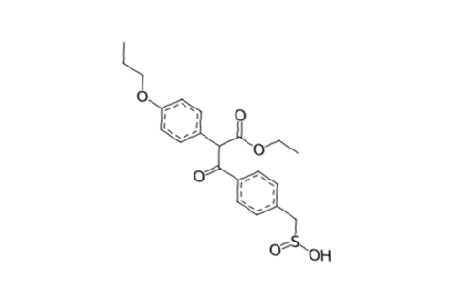 CCCOc1ccc(C(C(=O)OCC)C(=O)c2ccc(CS(=O)O)cc2)cc1